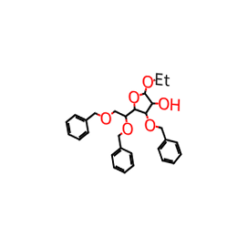 CCOC1OC(C(COCc2ccccc2)OCc2ccccc2)C(OCc2ccccc2)C1O